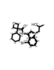 CC(O)Cn1cc(NC(=O)C2(C3CCCCC3)COC2)c2c(Br)cccc21